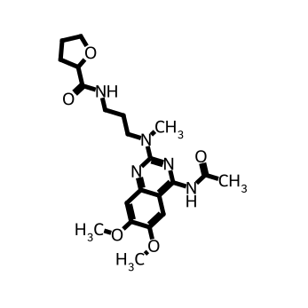 COc1cc2nc(N(C)CCCNC(=O)C3CCCO3)nc(NC(C)=O)c2cc1OC